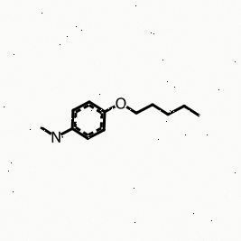 CCCCCOc1ccc([N]C)cc1